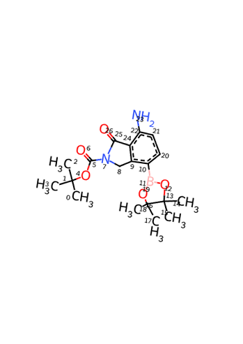 CC(C)(C)OC(=O)N1Cc2c(B3OC(C)(C)C(C)(C)O3)ccc(N)c2C1=O